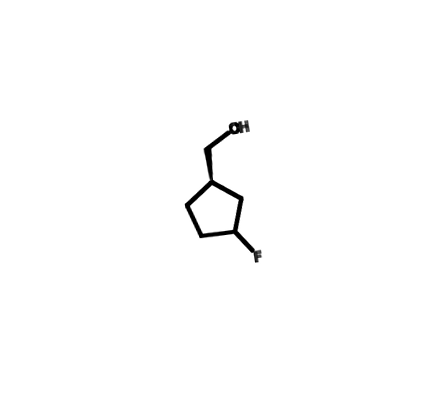 OC[C@@H]1CCC(F)C1